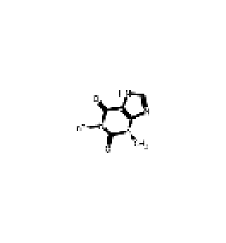 CCCn1c(=O)c2[nH]cnc2n(C)c1=O